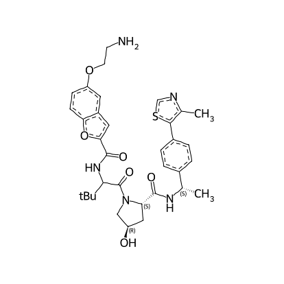 Cc1ncsc1-c1ccc([C@H](C)NC(=O)[C@@H]2C[C@@H](O)CN2C(=O)C(NC(=O)c2cc3cc(OCCN)ccc3o2)C(C)(C)C)cc1